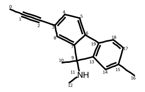 CC#Cc1ccc2c(c1)C(C)(NC)c1cc(C)ccc1-2